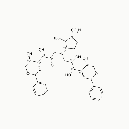 CC(C)(C)C1[C@@H](N(C[C@H](O)[C@@H](O)[C@@H]2OC(c3ccccc3)OC[C@H]2O)C[C@H](O)[C@@H](O)[C@@H]2OC(c3ccccc3)OC[C@H]2O)CCN1C(=O)O